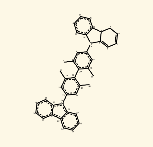 Cc1cc(N2C3=CC=CCC3c3ccccc32)cc(C)c1-c1c(C)cc(-n2c3ccccc3c3ccccc32)cc1C